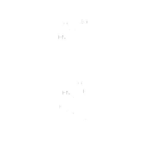 CC(C)(C)OC(=O)NCCCCCCC(=O)Nc1c(F)cc(F)cc1F